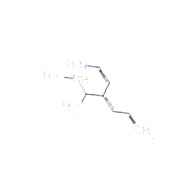 C=C/C=C(\C=C/N)C(C)NC